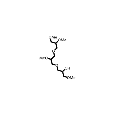 COCC(O)COCC(COCC(COC)OC)OC